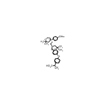 COc1ccc([C@]2(CCN(Cc3ccc(Oc4ccc(C(C)C(=O)O)cc4)cc3)CC(C)(C)C(F)(F)F)CCOC(C)(C)C2)cc1